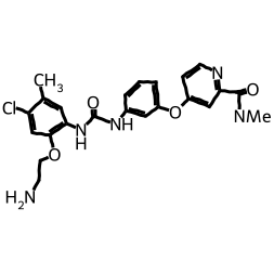 CNC(=O)c1cc(Oc2cccc(NC(=O)Nc3cc(C)c(Cl)cc3OCCN)c2)ccn1